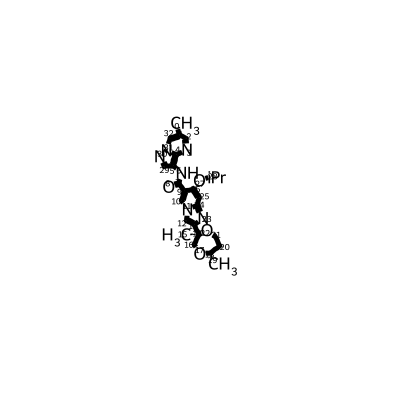 Cc1cnc2c(NC(=O)c3cn4cc([C@]5(C)CO[C@@H](C)CCO5)nc4cc3OC(C)C)cnn2c1